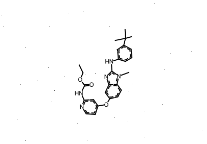 CCOC(=O)Nc1cc(Oc2ccc3c(c2)nc(Nc2cccc(C(C)(C)C)c2)n3C)ccn1